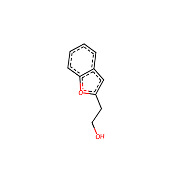 OCCc1cc2ccccc2o1